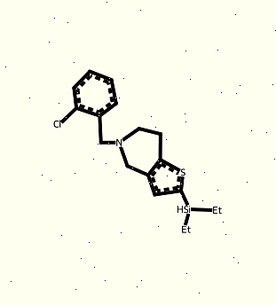 CC[SiH](CC)c1cc2c(s1)CCN(Cc1ccccc1Cl)C2